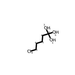 OC(O)(O)CCCCCl